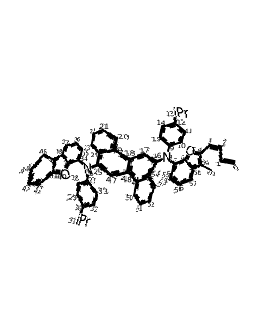 C=C/C=C\c1oc2c(N(c3ccc(C(C)C)cc3)c3cc4c5ccccc5c(N(c5ccc(C(C)C)cc5)c5cccc6c5oc5ccccc56)cc4c4ccccc34)cccc2c1C